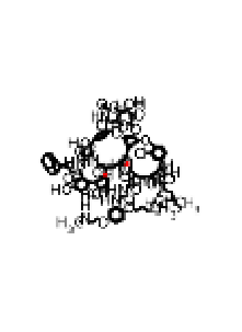 CCCCOc1ccc(OCCNC)cc1NC(=O)NC(=O)C[C@@H]1CC(=O)[C@H](NC(=O)[C@H](CC)CC(C)C)[C@H](O)c2ccc(c(Cl)c2)Oc2cc3cc(c2O[C@@H]2O[C@@H]4CNC(=O)O[C@H]4[C@H](O)[C@H]2O)Oc2ccc(cc2Cl)[C@@H](O)[C@@H]2NC(=O)[C@H](CC(=O)[C@@H]3NC1=O)c1ccc(O)c(c1)-c1c(O)cc(O)cc1[C@@H](C(=O)CC1C3CC4CC(C3)CC1C4)NC2=O